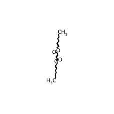 CCCCCC=CCOC(=O)/C=C/C(=O)OCC=CCCCCC